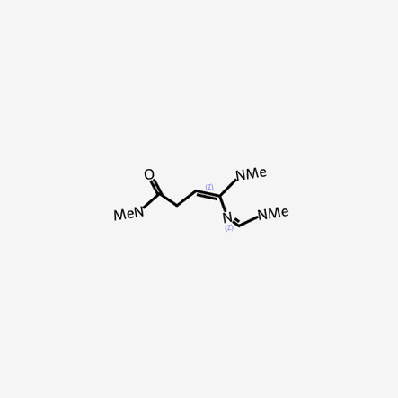 CN/C=N\C(=C/CC(=O)NC)NC